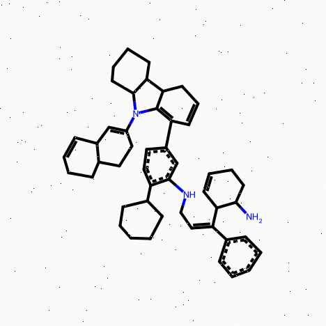 NC1CCC=CC1/C(=C\CNc1cc(C2=C3C(CC=C2)C2CCCCC2N3C2=CC3C=CCCC3CC2)ccc1C1CCCCC1)c1ccccc1